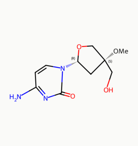 CO[C@@]1(CO)CO[C@@H](n2ccc(N)nc2=O)C1